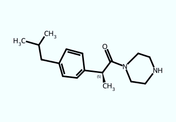 CC(C)Cc1ccc([C@H](C)C(=O)N2CCNCC2)cc1